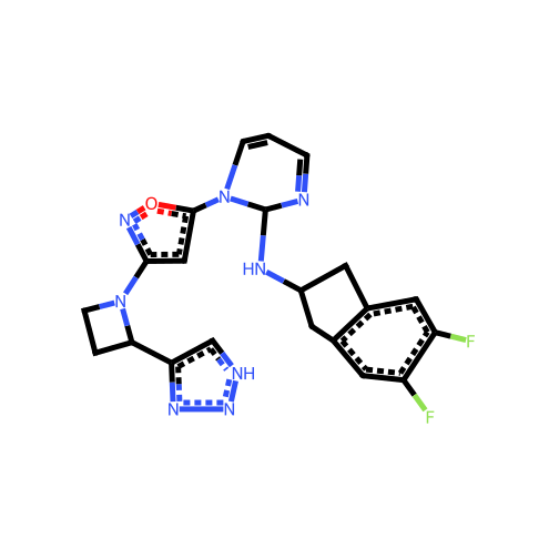 Fc1cc2c(cc1F)CC(NC1N=CC=CN1c1cc(N3CCC3c3c[nH]nn3)no1)C2